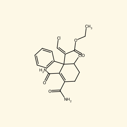 CCOC(=O)C(=CCl)C1(c2ccccc2)C(C(N)=O)=C(C(N)=O)CCC1Cl